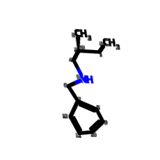 CC[C@H](C)CNCc1ccccc1